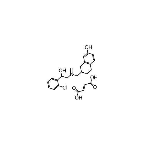 O=C(O)C=CC(=O)O.Oc1ccc2c(c1)CC(CNCC(O)c1ccccc1Cl)CC2